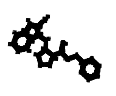 O=C(OCc1ccccc1)N1CCCC1Cc1c(Br)oc2ccccc12